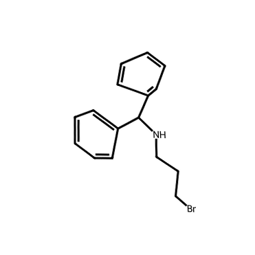 BrCCCNC(c1ccccc1)c1ccccc1